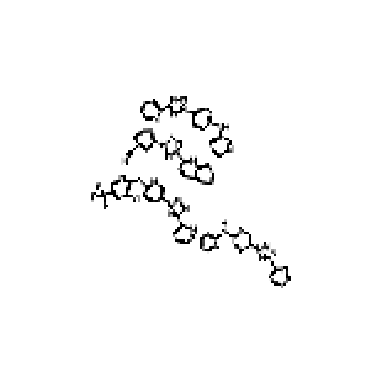 FC(F)(F)c1cnc(Nc2ccc(-n3nnc(-c4ccccn4)n3)cn2)c(Cl)c1.N#Cc1cccc(-n2nnc(-c3ccc4ccccc4n3)n2)c1.c1ccc(-c2nnn(-c3ccc(Nc4cccnc4)nc3)n2)nc1.c1ccc(Nc2ccc(-n3nnc(-c4ccccn4)n3)cn2)nc1